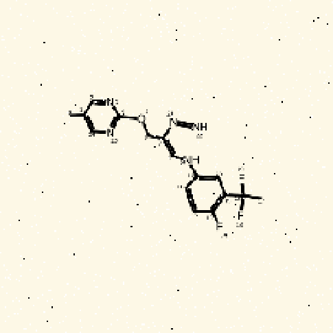 Cc1cnc(OC/C(=C/Nc2ccc(F)c(C(C)(F)F)c2)N=N)nc1